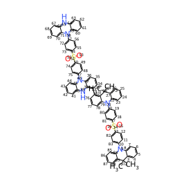 CC1(C)c2ccccc2N(c2ccc(S(=O)(=O)c3ccc(N4c5ccccc5C(C)(C)c5c(-c6cccc7c6Nc6ccccc6N7c6ccc(S(=O)(=O)c7ccc(N8c9ccccc9Nc9ccccc98)cc7)cc6)cccc54)cc3)cc2)c2ccccc21